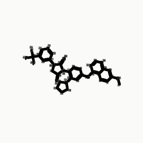 COc1ccc2c(Oc3ccc(N4C(=O)CN(c5cncc(C(F)(F)F)c5)C4=O)c(N4CCCC4)c3)ncnc2c1